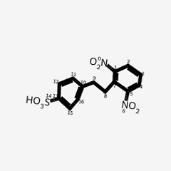 O=[N+]([O-])c1cccc([N+](=O)[O-])c1CCc1ccc(S(=O)(=O)O)cc1